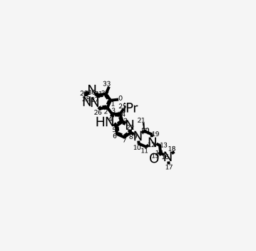 Cc1c(-c2[nH]c3ccc(N4CCN(CC(=O)N(C)C)C[C@@H]4C)nc3c2C(C)C)cn2ncnc2c1C